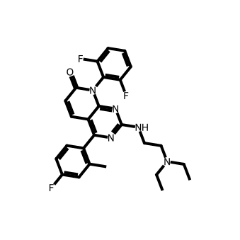 CCN(CC)CCNc1nc(-c2ccc(F)cc2C)c2ccc(=O)n(-c3c(F)cccc3F)c2n1